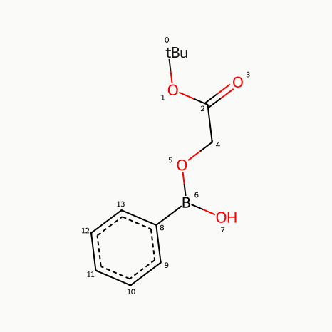 CC(C)(C)OC(=O)COB(O)c1ccccc1